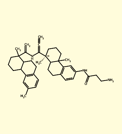 C=C=C(NC(=C)C1(C)CCCC2c3cc(C)ccc3CCC21)[C@@]1(C)CCCC2(C)c3cc(NC(=O)CCN)ccc3CCC21